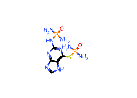 NP(N)(=O)Nc1nc(SP(N)(N)=O)c2[nH]cnc2n1